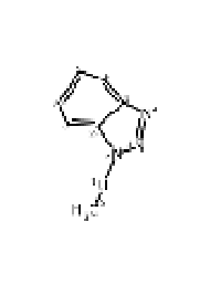 [CH3][U][n]1nnc2ccccc21